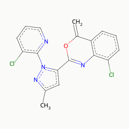 C=C1OC(c2cc(C)nn2-c2ncccc2Cl)=Nc2c(Cl)cccc21